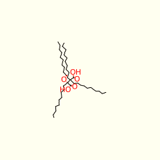 CCCCCCCCCCOC(CCCCCCCCCC)(C(=O)O)C(CCCCCCCCCC)(CCCCCCCCCC)C(=O)O